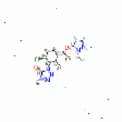 CCn1nccc1OC(=S)c1ccc(Cl)c(-n2nnn(C)c2=O)c1C